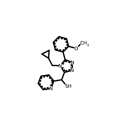 COc1ccccc1-c1nnc(C(S)c2ccccn2)n1CC1CC1